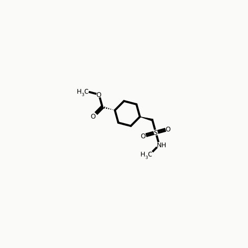 CNS(=O)(=O)C[C@H]1CC[C@H](C(=O)OC)CC1